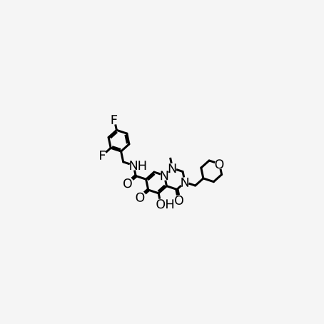 CN1CN(CC2CCOCC2)C(=O)c2c(O)c(=O)c(C(=O)NCc3ccc(F)cc3F)cn21